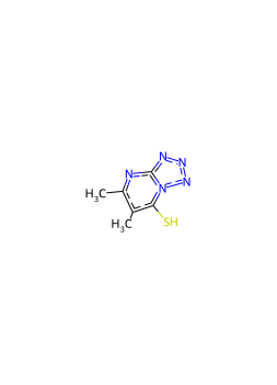 Cc1nc2nnnn2c(S)c1C